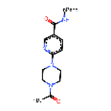 CCCCCNC(=O)c1ccc(N2CCN(C(=O)CCCC)CC2)nc1